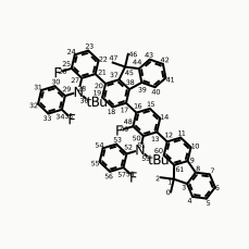 CC1(C)c2ccccc2-c2ccc(-c3ccc(-c4ccc(-c5cccc(F)c5N(c5ccccc5F)C(C)(C)C)c5c4-c4ccccc4C5(C)C)c(F)c3N(c3ccccc3F)C(C)(C)C)cc21